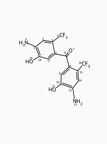 Nc1cc(C(F)(F)F)c(C(=O)c2cc(O)c(N)cc2C(F)(F)F)cc1O